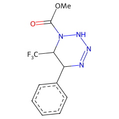 COC(=O)N1NN=NC(c2ccccc2)C1C(F)(F)F